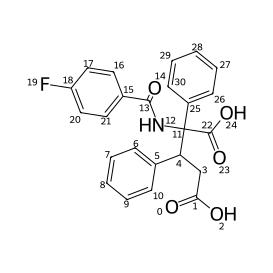 O=C(O)CC(c1ccccc1)C(NC(=O)c1ccc(F)cc1)(C(=O)O)c1ccccc1